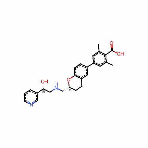 Cc1cc(-c2ccc3c(c2)CC[C@H](CNC[C@@H](O)c2cccnc2)O3)cc(C)c1C(=O)O